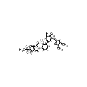 Cc1c(-c2cc(Nc3cc(C)n(C)n3)c(=O)[nH]n2)cccc1N1Cc2nc(C(C)(C)C)sc2C1=O